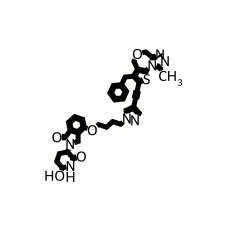 Cc1nnc2n1-c1sc(C#Cc3cnn(CCCCOc4cccc5c4CN(C4CCC(O)NC4=O)C5=O)c3)c(Cc3ccccc3)c1COC2